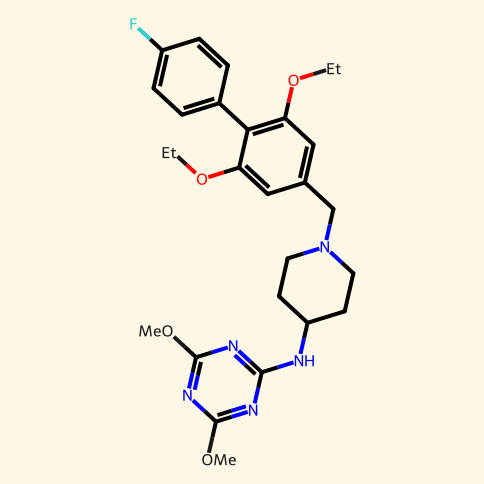 CCOc1cc(CN2CCC(Nc3nc(OC)nc(OC)n3)CC2)cc(OCC)c1-c1ccc(F)cc1